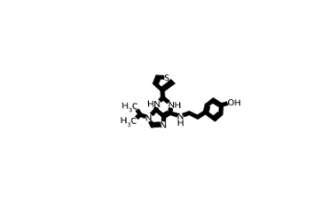 CC(C)N1C=NC2=C(NCCc3ccc(O)cc3)NC(c3ccsc3)NC21